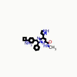 CNC(=O)C1=NN2C(=NC(c3ccc(C4(N)CCC4)cc3)C2c2ccccc2)C(c2cc[nH]n2)=C1